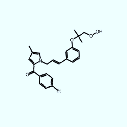 CCc1ccc(C(=O)c2cc(C)cn2C/C=C/c2cccc(OC(C)(C)COO)c2)cc1